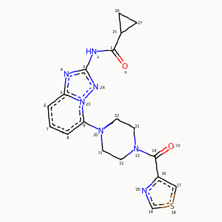 O=C(Nc1nc2cccc(N3CCN(C(=O)c4cscn4)CC3)n2n1)C1CC1